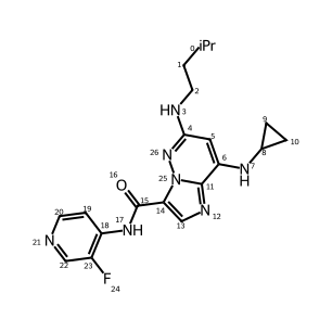 CC(C)CCNc1cc(NC2CC2)c2ncc(C(=O)Nc3ccncc3F)n2n1